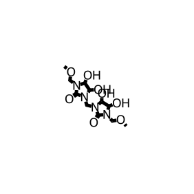 COCN1C(=O)N(CN2C(=O)N(COC)C(O)C2O)C(O)C1O